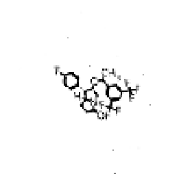 C[C@@H](O[C@H]1CN2C(=O)CC[C@H]2[C@@H]1c1ccc(F)cc1)c1cc(C(F)(F)F)cc(C(F)(F)F)c1